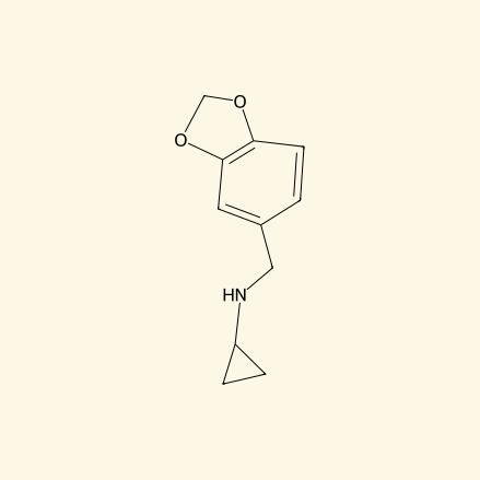 c1cc2c(cc1CNC1CC1)OCO2